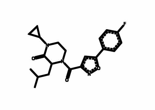 CC(C)CC1C(=O)N(C2CC2)CCN1C(=O)c1cc(-c2ccc(F)cc2)on1